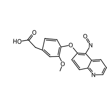 COc1cc(CC(=O)O)ccc1Oc1ccc2ncccc2c1N=O